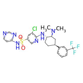 CN(C)[C@H]1C[C@@H](c2cccc(C(F)(F)F)c2)CC[C@@H]1Nc1ncc(S(=O)(=O)Nc2ccncn2)cc1Cl